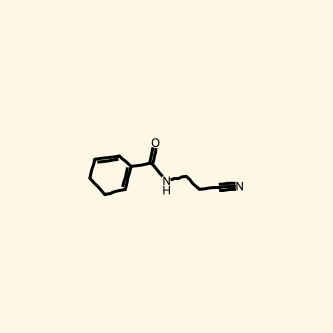 N#CCCNC(=O)C1=CCCC=C1